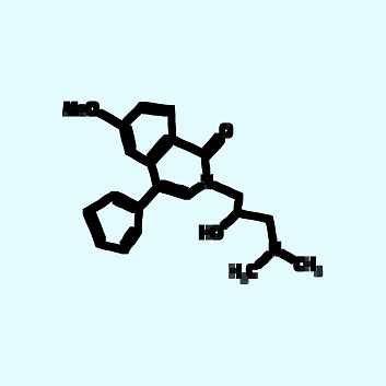 COc1ccc2c(=O)n(CC(O)CN(C)C)cc(-c3ccccc3)c2c1